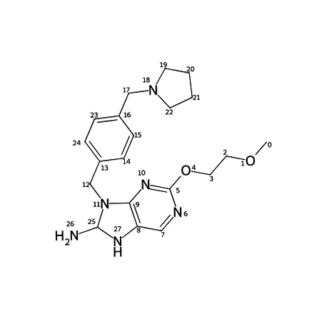 COCCOc1ncc2c(n1)N(Cc1ccc(CN3CCCC3)cc1)C(N)N2